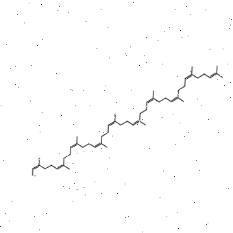 [CH2]C=C(C)CCC=C(C)CCC=C(C)CCC=C(C)CCC=C(C)CCC=C(C)CCC=C(C)CCC=C(C)CCC=C(C)CCC=C(C)C